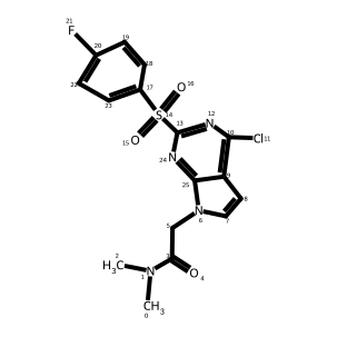 CN(C)C(=O)Cn1ccc2c(Cl)nc(S(=O)(=O)c3ccc(F)cc3)nc21